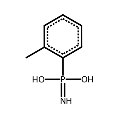 Cc1ccccc1P(=N)(O)O